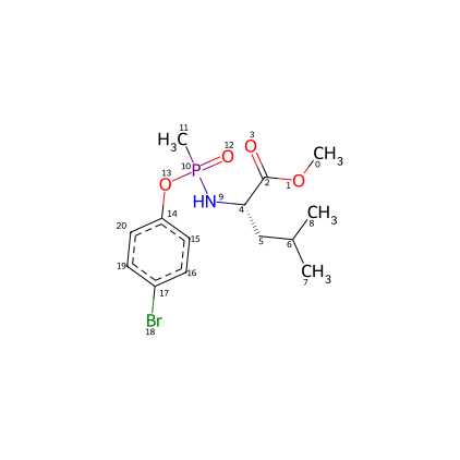 COC(=O)[C@H](CC(C)C)NP(C)(=O)Oc1ccc(Br)cc1